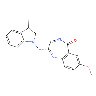 COc1ccc2nc(CN3CC(C)c4ccccc43)cnc(=O)c2c1